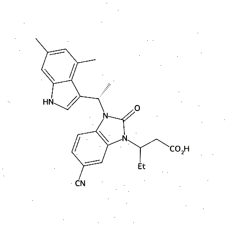 CCC(CC(=O)O)n1c(=O)n([C@@H](C)c2c[nH]c3cc(C)cc(C)c23)c2ccc(C#N)cc21